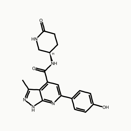 Cc1n[nH]c2nc(-c3ccc(O)cc3)cc(C(=O)N[C@@H]3CCC(=O)NC3)c12